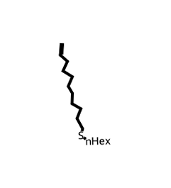 C=CCCCCCCCCCSCCCCCC